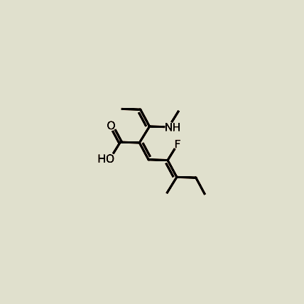 C\C=C(NC)/C(=C\C(F)=C(/C)CC)C(=O)O